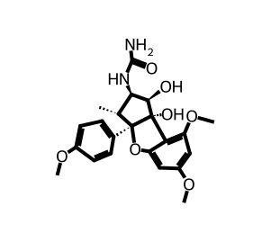 COc1ccc([C@@]23Oc4cc(OC)cc(OC)c4[C@]2(O)[C@H](O)[C@H](NC(N)=O)[C@H]3C)cc1